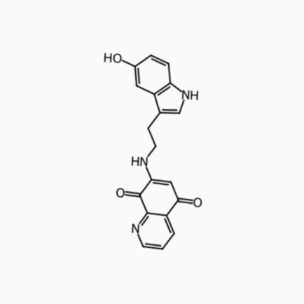 O=C1C=C(NCCc2c[nH]c3ccc(O)cc23)C(=O)c2ncccc21